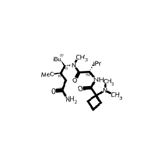 CC[C@H](C)[C@@H]([C@@H](CC(N)=O)OC)N(C)C(=O)[C@@H](NC(=O)C1(N(C)C)CCC1)C(C)C